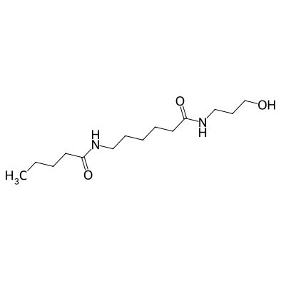 CCCCC(=O)NCCCCCC(=O)NCCCO